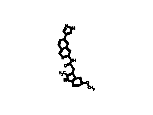 COc1ccc2[nH]c(C)c(CC(=O)Nc3cc4cc(-c5cn[nH]c5)ccc4cn3)c2c1